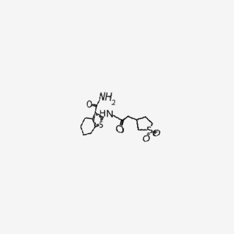 NC(=O)c1c(NC(=O)CC2CCS(=O)(=O)C2)sc2c1CCCC2